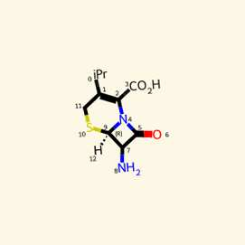 CC(C)C1=C(C(=O)O)N2C(=O)C(N)[C@H]2SC1